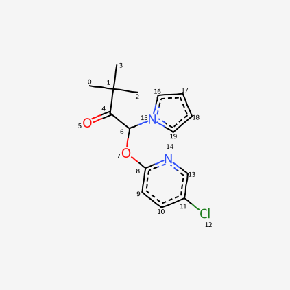 CC(C)(C)C(=O)C(Oc1ccc(Cl)cn1)n1cccc1